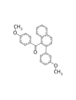 COc1ccc(C(=O)c2c(-c3cccc(OC)c3)ccc3ccccc23)cc1